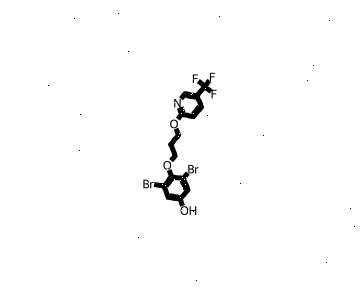 Oc1cc(Br)c(OCCCOc2ccc(C(F)(F)F)cn2)c(Br)c1